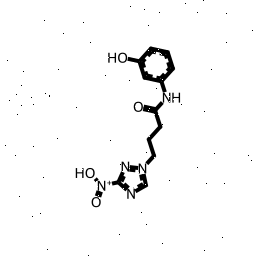 O=C(CCCn1cnc([N+](=O)O)n1)Nc1cccc(O)c1